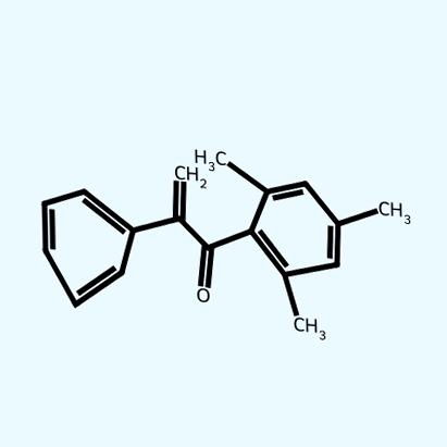 C=C(C(=O)c1c(C)cc(C)cc1C)c1ccccc1